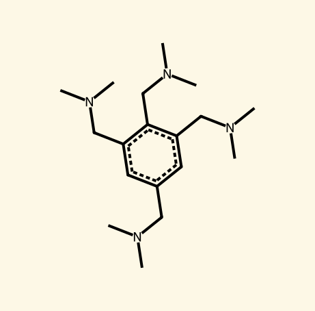 CN(C)Cc1cc(CN(C)C)c(CN(C)C)c(CN(C)C)c1